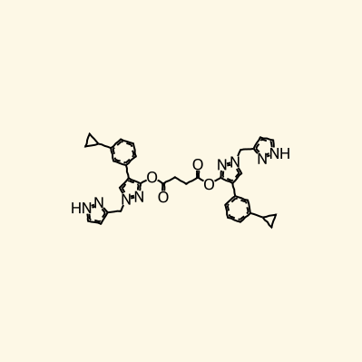 O=C(CCC(=O)Oc1nn(Cc2cc[nH]n2)cc1-c1cccc(C2CC2)c1)Oc1nn(Cc2cc[nH]n2)cc1-c1cccc(C2CC2)c1